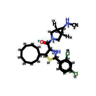 N#CN[C@H]1[C@@H]2CN(C(=O)C3NC(c4ccc(Cl)cc4Cl)SC3C3CCCCCCCC3)C[C@@H]21